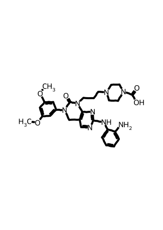 COc1cc(OC)cc(N2Cc3cnc(Nc4ccccc4N)nc3N(CCCN3CCN(C(=O)O)CC3)C2=O)c1